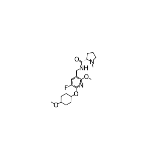 COc1nc(OC2CCC(OC)CC2)c(F)cc1CNC(=O)[C@@H]1CCCN1C